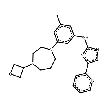 Cc1cc(Nc2ncn(-c3ccccn3)n2)cc(N2CCCN(C3COC3)CC2)c1